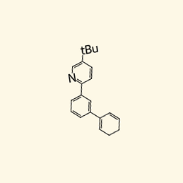 CC(C)(C)c1ccc(-c2cccc(C3=CCCC=C3)c2)nc1